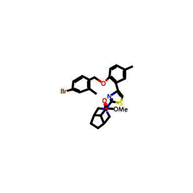 COC(=O)C1C2CCC1CN(c1nc(-c3cc(C)ccc3OCc3ccc(Br)cc3C)cs1)C2